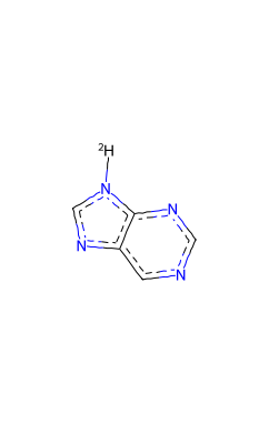 [2H]n1cnc2cncnc21